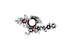 CC[C@H]1OC(=O)[C@H](C)[C@@H](O[C@H]2C[C@@](C)(OC)[C@@H](O)[C@H](C)O2)[C@H](C)[C@@H](O[C@@H]2O[C@H](C)C[C@H](N(C)Cc3cn(C[C@H]4CN(c5ccc(N6CCOCC6)c(F)c5)C(=O)O4)nn3)[C@H]2O)[C@](C)(O)C[C@@H](C)CN(C)[C@H](C)[C@@H](O)[C@]1(C)O